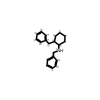 c1ccc(CNC2CCCCC2Cc2ccccc2)cc1